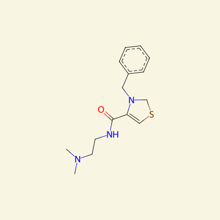 CN(C)CCNC(=O)C1=CSCN1Cc1ccccc1